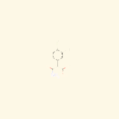 Cc1cc(C(C(N)=O)C(=O)O)ccc1F